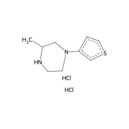 CC1CN(c2ccsc2)CCN1.Cl.Cl